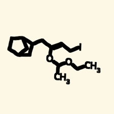 CCOC(C)OC(=CCI)CC1CC2CCC1C2